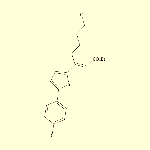 CCOC(=O)C=C(CCCCCl)c1ccc(-c2ccc(Cl)cc2)s1